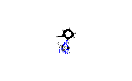 Cc1ccccc1N1C=NN[C@@H]1C